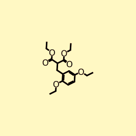 CCOC(=O)C(Cc1cc(OCC)ccc1OCC)C(=O)OCC